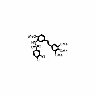 COc1ccc(C=Cc2cc(OC)c(OC)c(OC)c2)cc1NS(=O)(=O)c1ccc(Cl)c(Cl)c1